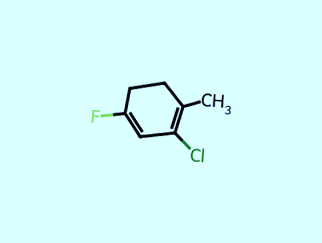 CC1=C(Cl)C=C(F)CC1